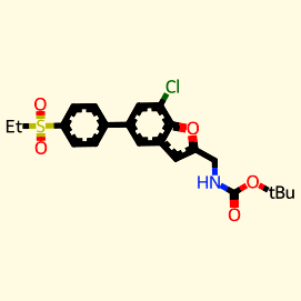 CCS(=O)(=O)c1ccc(-c2cc(Cl)c3oc(CNC(=O)OC(C)(C)C)cc3c2)cc1